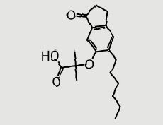 CCCCCCc1cc2c(cc1OC(C)(C)C(=O)O)C(=O)CC2